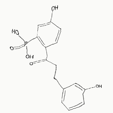 O=C(CCc1cccc(O)c1)c1ccc(O)cc1P(=O)(O)O